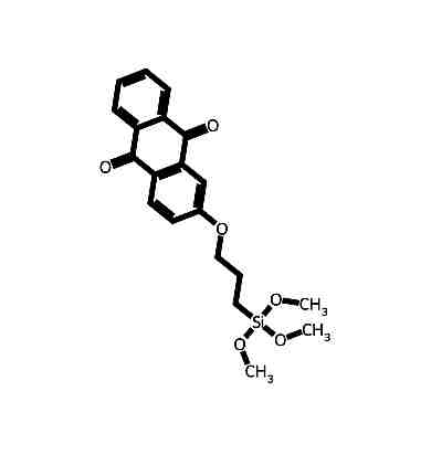 CO[Si](CCCOc1ccc2c(c1)C(=O)c1ccccc1C2=O)(OC)OC